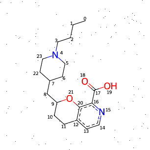 CCCCN1CCC(CC2CCc3ccnc(C(=O)O)c3O2)CC1